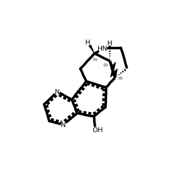 Oc1cc2c(c3nccnc13)C[C@@H]1NCC[C@]23CCCC[C@H]13